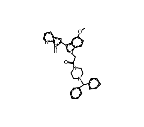 COc1ccc2c(c1)c(-c1cc3cccnc3[nH]1)cn2CC(=O)N1CCN(C(c2ccccc2)c2ccccc2)CC1